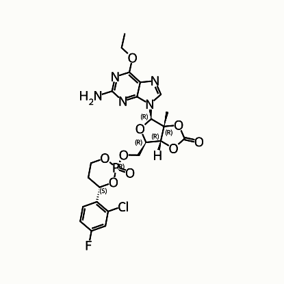 CCOc1nc(N)nc2c1ncn2[C@@H]1O[C@H](CO[P@@]2(=O)OCC[C@@H](c3ccc(F)cc3Cl)O2)[C@H]2OC(=O)O[C@]21C